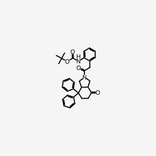 CC(C)(C)OC(=O)Nc1ccccc1CC(=O)N1CC2C(=O)CCC(c3ccccc3)(c3ccccc3)C2C1